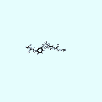 CCCCCCCC(=O)NCCOP(=O)(O)Oc1cccc(OCC(=O)N(C)C)c1